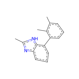 Cc1nc2cccc(-c3cccc(C)c3C)c2[nH]1